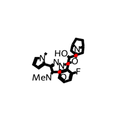 CNC1C(=O)N(CC(O)CN2C3CCC2CC(OCc2ccccc2F)C3)N=C1c1cccn1C